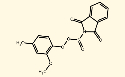 COc1cc(C)ccc1OOS(=O)N1C(=O)c2ccccc2C1=O